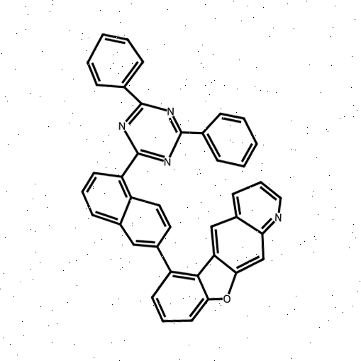 c1ccc(-c2nc(-c3ccccc3)nc(-c3cccc4cc(-c5cccc6oc7cc8ncccc8cc7c56)ccc34)n2)cc1